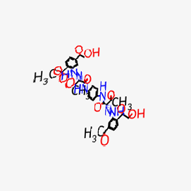 COC(=O)c1ccc(C(=O)CO)cc1N/N=C(\C(C)=O)C(=O)Nc1ccc(NC(=O)/C(=N/Nc2cc(C(C)=O)ccc2C(=O)CO)C(C)=O)cc1